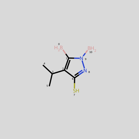 Bc1c(C(C)C)c(S)nn1B